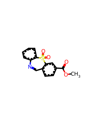 COC(=O)c1ccc2c(c1)S(=O)(=O)c1ccccc1N=C2